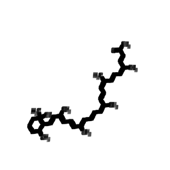 CC(=O)C=CC(C)=CC=CC(C)=CC=CC(C)=CC=CC=C(C)C=CC=C(C)C=CC1C(C)CCCC1(C)C